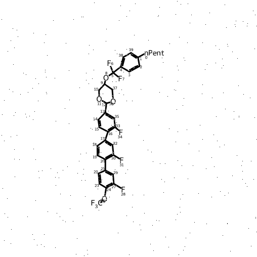 CCCCCc1ccc(C(F)(F)OC2COC(c3ccc(-c4ccc(-c5ccc(OC(F)(F)F)c(F)c5)c(F)c4)c(F)c3)OC2)cc1